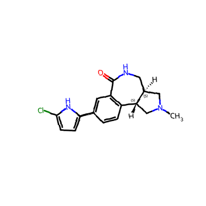 CN1C[C@@H]2CNC(=O)c3cc(-c4ccc(Cl)[nH]4)ccc3[C@H]2C1